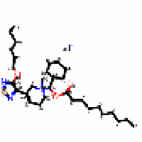 CCCCCCCCCC(=O)OC(C1CCCCC1)[N+]1(C)CCC=C(c2nsnc2OCCCCCC)C1.[I-]